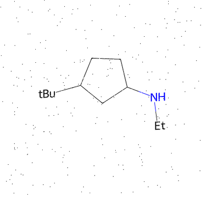 CCNC1CCC(C(C)(C)C)C1